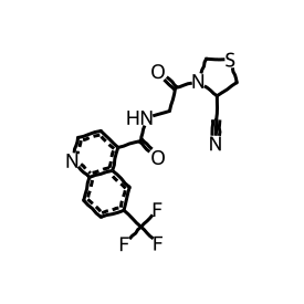 N#CC1CSCN1C(=O)CNC(=O)c1ccnc2ccc(C(F)(F)F)cc12